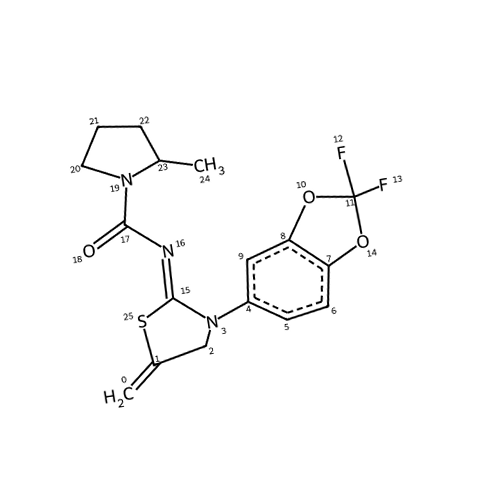 C=C1CN(c2ccc3c(c2)OC(F)(F)O3)C(=NC(=O)N2CCCC2C)S1